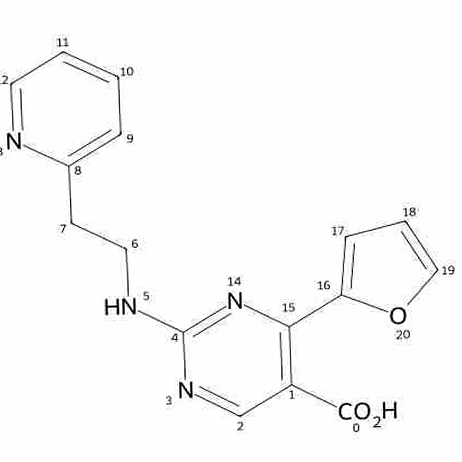 O=C(O)c1cnc(NCCc2ccccn2)nc1-c1ccco1